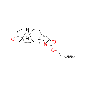 COCCOCOC[C@]12CCC(=O)C=C1CC[C@@H]1[C@H]2CC[C@]2(C)C(=O)CC[C@@H]12